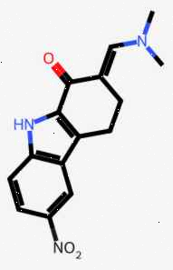 CN(C)C=C1CCc2c([nH]c3ccc([N+](=O)[O-])cc23)C1=O